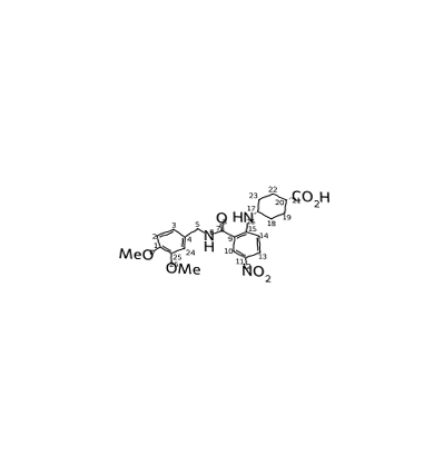 COc1ccc(CNC(=O)c2cc([N+](=O)[O-])ccc2N[C@H]2CC[C@@H](C(=O)O)CC2)cc1OC